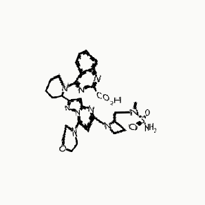 CN(CC1CCN1c1cc(N2CCOCC2)n2nc(C3CCCCN3c3nc(C(=O)O)nc4ccccc34)cc2n1)S(N)(=O)=O